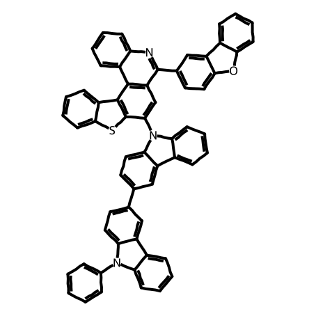 c1ccc(-n2c3ccccc3c3cc(-c4ccc5c(c4)c4ccccc4n5-c4cc5c(-c6ccc7oc8ccccc8c7c6)nc6ccccc6c5c5c4sc4ccccc45)ccc32)cc1